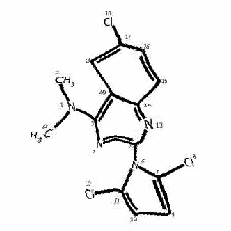 CN(C)c1nc(-n2c(Cl)ccc2Cl)nc2ccc(Cl)cc12